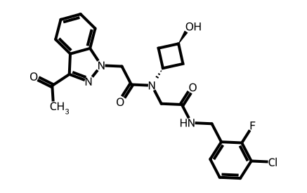 CC(=O)c1nn(CC(=O)N(CC(=O)NCc2cccc(Cl)c2F)[C@H]2C[C@H](O)C2)c2ccccc12